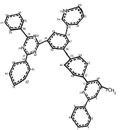 Cc1cc(-c2ccccc2)nc(-c2ccc(-c3cc(-c4cccnc4)cc(-c4nc(-c5ccccc5)nc(-c5ccccc5)n4)c3)cc2)c1